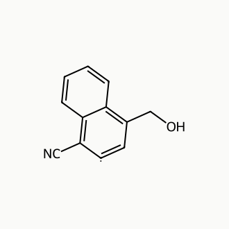 N#Cc1[c]cc(CO)c2ccccc12